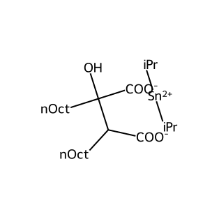 CCCCCCCCC(C(=O)[O-])C(O)(CCCCCCCC)C(=O)[O-].C[CH](C)[Sn+2][CH](C)C